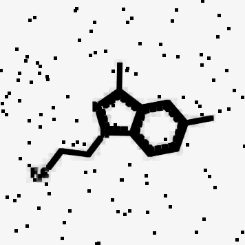 Cc1ccc2c(c1)c(C)nn2CCC(F)(F)F